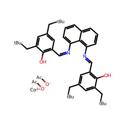 CC(=O)[O-].CC(=O)[O-].CC(C)(C)Cc1cc(C=Nc2cccc3cccc(N=Cc4cc(CC(C)(C)C)cc(CC(C)(C)C)c4O)c23)c(O)c(CC(C)(C)C)c1.[Co+2]